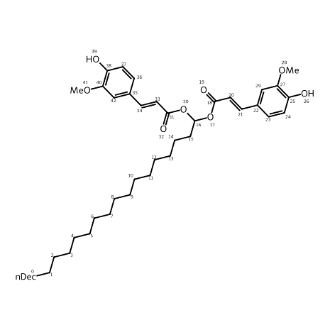 CCCCCCCCCCCCCCCCCCCCCCCCCC(OC(=O)C=Cc1ccc(O)c(OC)c1)OC(=O)C=Cc1ccc(O)c(OC)c1